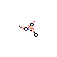 CCCO[C@H]1CC[C@@H](N(CC(=O)OCc2ccccc2)S(=O)(=O)c2ccc(OC)cc2)CC1